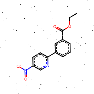 CCOC(=O)c1cccc(-c2ccc([N+](=O)[O-])cn2)c1